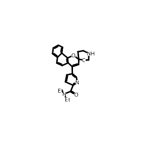 CCN(CC)C(=O)c1ccc(C2=CC3(CCNCC3)Oc3c2ccc2ccccc32)cn1